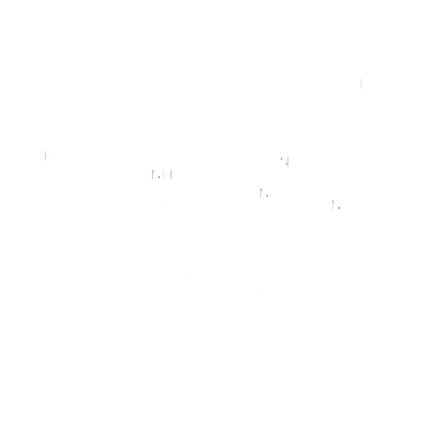 O=C(NCc1c(F)cc(F)cc1F)c1cn2c(c(OCc3ccccc3)c1=O)C(=O)N1CCC(F)(F)CCN2C1